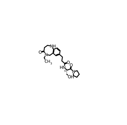 CCN1Cc2cc(CCC(=O)N[C@@H](CO)C(=O)N3CCCC3)ccc2NCCC1=O